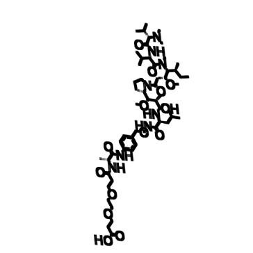 CC[C@H](C)[C@@H]([C@@H](CC(=O)N1CCC[C@H]1[C@H](OC)[C@@H](C)C(O)N[C@@H](CC(C)C)C(=O)NOCc1ccc(NC(=O)[C@@H](C)NC(=O)CCOCCOCCC(=O)O)cc1)OC)N(C)C(=O)[C@@H](NC(=O)[C@H](C(C)C)N(C)C)C(C)C